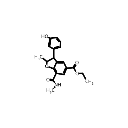 CCOC(=O)c1cc(C(=O)NC)c2c(c1)C(c1cccc(O)c1)C(C)O2